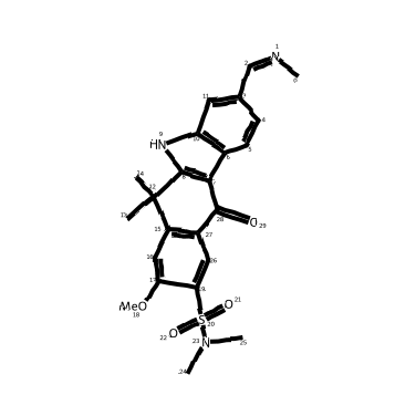 C/N=C\c1ccc2c3c([nH]c2c1)C(C)(C)c1cc(OC)c(S(=O)(=O)N(C)C)cc1C3=O